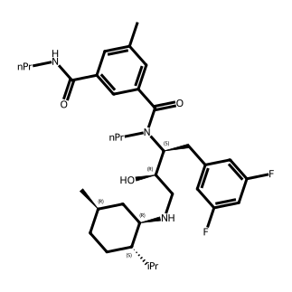 CCCNC(=O)c1cc(C)cc(C(=O)N(CCC)[C@@H](Cc2cc(F)cc(F)c2)[C@H](O)CN[C@@H]2C[C@H](C)CC[C@H]2C(C)C)c1